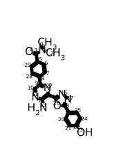 CN(C)C(=O)c1ccc(-c2cnc(N)c(-c3nnc(-c4ccc(O)cc4)o3)n2)cc1